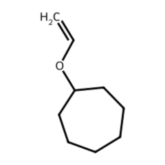 C=COC1CCCCCC1